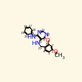 COc1ccc2c(c1)Oc1ncnc(Nc3ccccc3)c1NC2